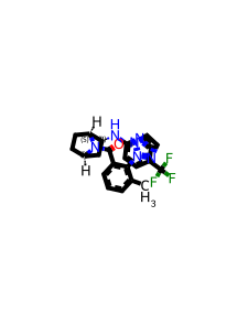 Cc1cccc(C(=O)N2[C@@H]3CC[C@H]2[C@H](Nc2ccc(C(F)(F)F)cn2)C3)c1-n1nccn1